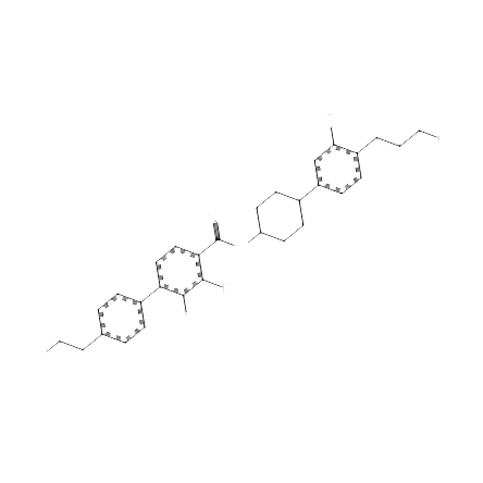 CCCCc1ccc(C2CCC(OC(=O)c3ccc(-c4ccc(CCC)cc4)c(F)c3F)CC2)cc1F